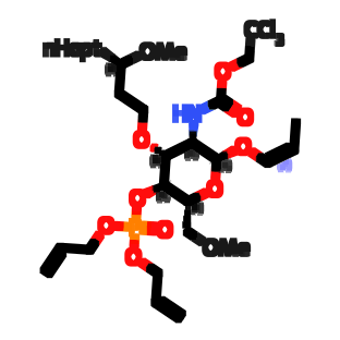 C=CCOP(=O)(OCC=C)O[C@H]1[C@H](OCC[C@@H](CCCCCCC)OC)[C@@H](NC(=O)OCC(Cl)(Cl)Cl)[C@@H](O/C=C\C)O[C@@H]1COC